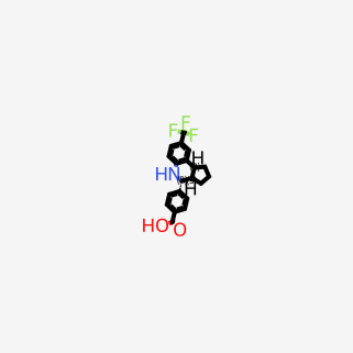 O=C(O)c1ccc([C@@H]2Nc3ccc(C(F)(F)F)cc3[C@@H]3CCC[C@@H]32)cc1